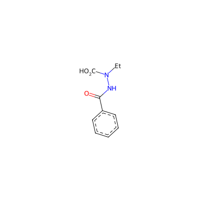 CCN(NC(=O)c1ccccc1)C(=O)O